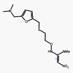 CN/C(=C\[N+](=O)[O-])NOCCSCc1ccc(CN(C)C)o1